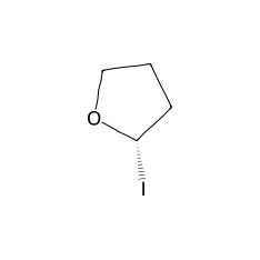 I[C@H]1CCCO1